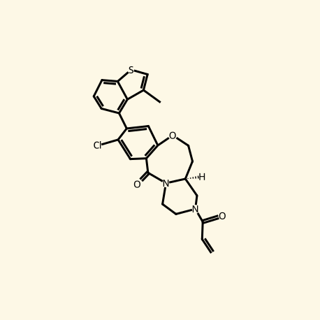 C=CC(=O)N1CCN2C(=O)c3cc(Cl)c(-c4cccc5scc(C)c45)cc3OCC[C@H]2C1